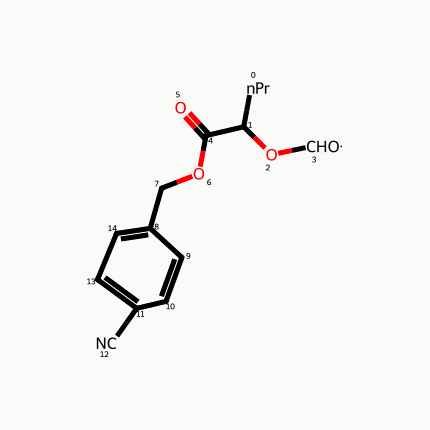 CCCC(O[C]=O)C(=O)OCc1ccc(C#N)cc1